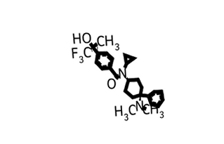 CN(C)[C@]1(c2ccccc2)CC[C@H](N(C(=O)c2ccc([C@](C)(O)C(F)(F)F)cc2)C2CC2)CC1